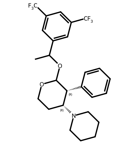 CC(OC1OCC[C@@H](N2CCCCC2)[C@H]1c1ccccc1)c1cc(C(F)(F)F)cc(C(F)(F)F)c1